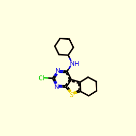 Clc1nc(NC2CCCCC2)c2c3c(sc2n1)CCCC3